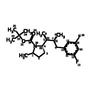 CC1CC[C@@H]([C@@H](C)[C@@H](C)Cc2cc(F)cc(F)c2)N1C(=O)OC(C)(C)C